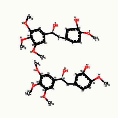 COc1ccc(C[C@@H](O)c2cc(OC)c(OC)c(OC)c2)cc1O.COc1ccc(C[C@@H](O)c2cc(OC)c(OC)c(OC)c2)cc1O